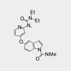 CCN(CC)C(=O)N(C)c1cc(Oc2ccc3c(ccn3C(=O)NC)c2)ccn1